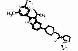 Cc1cc(-c2[nH]c3ccc(C4CCN(CC(=O)N5CCC[C@@H]5CO)CC4)cc3c2C(C)C)cc(C)n1